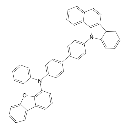 c1ccc(N(c2ccc(-c3ccc(-n4c5ccccc5c5ccc6ccccc6c54)cc3)cc2)c2cccc3c2oc2ccccc23)cc1